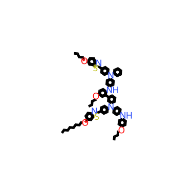 CCCCCCCCOc1ccc2nc(-c3ccc(N(c4ccc(Nc5ccc(OCCCC)cc5)cc4)c4cccc(-c5cc(OCCCC)ccc5Nc5ccc(N(c6ccccc6)c6ccc(-c7nc8ccc(OCCCC)cc8s7)cc6)cc5)c4)cc3)sc2c1